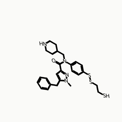 Cn1nc(C(=O)N(CC2CCNCC2)c2ccc(SSCCS)cc2)cc1Cc1ccccc1